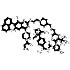 C=CC(=O)N1CCN(c2nc(OCCN3CCC(COCC(=O)N[C@H](C(=O)N4C[C@H](O)C[C@H]4C(=O)N[C@@H](C)c4ccc(-c5scnc5C)cc4)C(C)(C)C)CC3)nc3c(F)c(-c4cccc5cccc(C)c45)c(Cl)cc23)C[C@@H]1CC#N